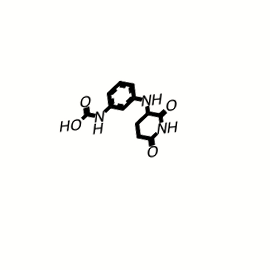 O=C(O)Nc1cccc(NC2CCC(=O)NC2=O)c1